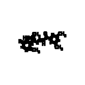 Cc1cc(C)cc(C(=O)NCCc2c(C)[nH]c3c(F)ccc(C)c23)c1